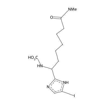 CNC(=O)CCCCCC(NC(=O)O)c1ncc(I)[nH]1